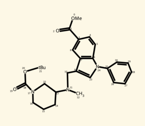 COC(=O)c1ccc2c(c1)c(CN(C)C1CCCN(C(=O)OC(C)(C)C)C1)cn2-c1ccccc1